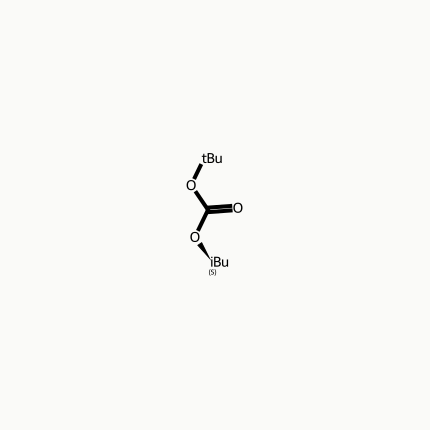 CC[C@H](C)OC(=O)OC(C)(C)C